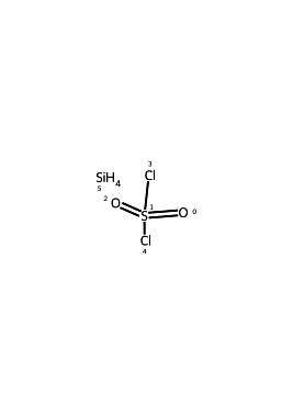 O=S(=O)(Cl)Cl.[SiH4]